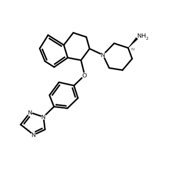 N[C@H]1CCCN(C2CCc3ccccc3C2Oc2ccc(-n3cncn3)cc2)C1